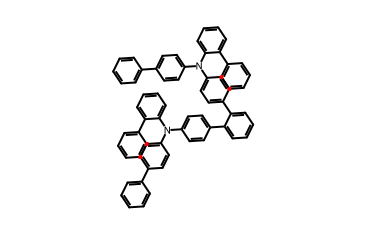 c1ccc(-c2ccc(N(c3ccc(-c4ccccc4-c4ccc(N(c5ccc(-c6ccccc6)cc5)c5ccccc5-c5ccccc5)cc4)cc3)c3ccccc3-c3ccccc3)cc2)cc1